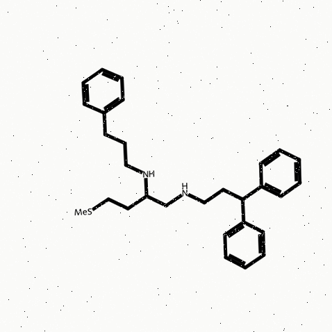 CSCCC(CNCCC(c1ccccc1)c1ccccc1)NCCCc1ccccc1